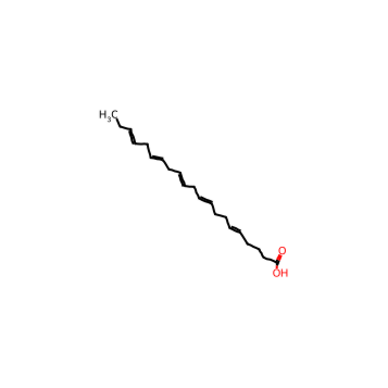 CC/C=C/C/C=C/C/C=C/C/C=C/CC/C=C/CCCC(=O)O